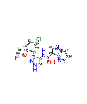 OC(Nc1c[nH]nc1-c1cc(Cl)ccc1OC(F)F)c1cnn2cccnc12